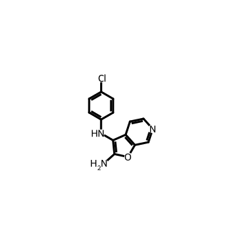 Nc1oc2cnccc2c1Nc1ccc(Cl)cc1